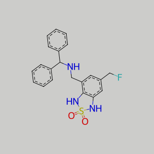 O=S1(=O)Nc2cc(CF)cc(CNC(c3ccccc3)c3ccccc3)c2N1